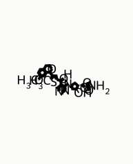 COc1ccc2c(c1)C(c1cc(C(=O)c3cncnc3N[C@@H]3C[C@H](COS(N)(=O)=O)[C@@H](O)C3)sc1C)OCC2